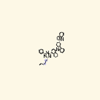 C=C/C=C\C=C\c1nc(-c2ccccc2)nc(-c2ccc(-n3c4ccccc4c4cc(-c5nc6ccccc6o5)ccc43)c3ccccc23)n1